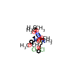 COc1cccc(CN(C(=O)C2=C(c3cnc(CCCOc4c(Cl)cccc4Cl)s3)CC3CN(C(=O)OC(C)(C)C)CC2N3C(=O)OC(C)(C)C)C2CC2)c1C